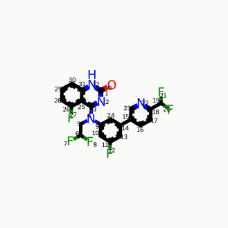 O=c1nc(N(CC(F)F)c2cc(F)cc(-c3ccc(C(F)F)nc3)c2)c2c(F)cccc2[nH]1